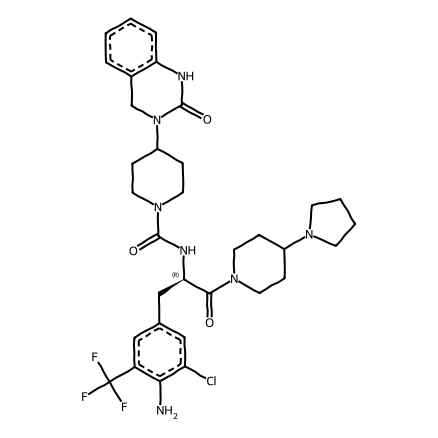 Nc1c(Cl)cc(C[C@@H](NC(=O)N2CCC(N3Cc4ccccc4NC3=O)CC2)C(=O)N2CCC(N3CCCC3)CC2)cc1C(F)(F)F